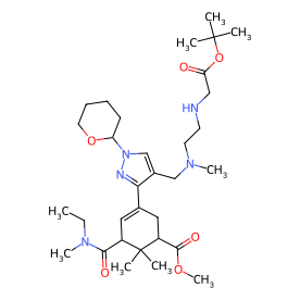 CCN(C)C(=O)C1C=C(c2nn(C3CCCCO3)cc2CN(C)CCNCC(=O)OC(C)(C)C)CC(C(=O)OC)C1(C)C